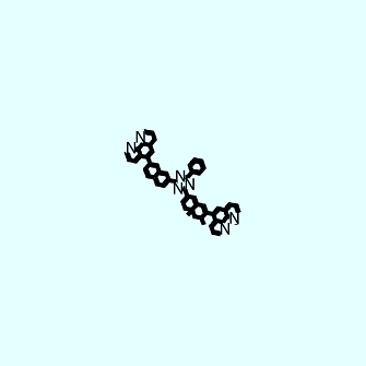 CC1CC2(C)CC=C(c3nc(C4=CC=C=C=C4)nc(-c4ccc5ccc(C6=CC7CC=CN=C7c7ncccc76)cc5c4)n3)C=C2C=C1C1=CC2=CC=CN(C)C2c2ncccc21